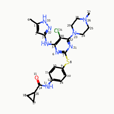 Cc1cc(Nc2nc(Sc3ccc(NC(=O)C4CC4)cc3)nc(N3CCN(C)CC3)c2Cl)n[nH]1